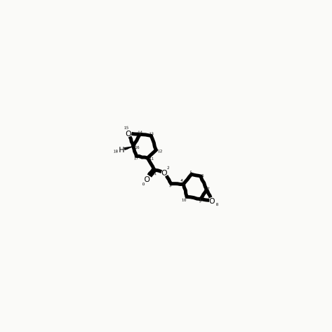 O=C(OCC1CCC2OC2C1)C1CCC2O[C@H]2C1